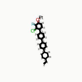 C=CC1CCC(c2ccc(-c3ccc(-c4ccc(OCC)c(F)c4Cl)cc3)cc2)CC1